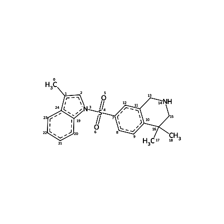 Cc1cn(S(=O)(=O)c2ccc3c(c2)CNCC3(C)C)c2ccccc12